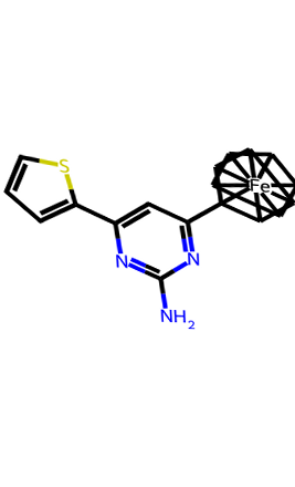 Nc1nc(-c2cccs2)cc([C]23[CH]4[CH]5[CH]6[CH]2[Fe]56432789[CH]3[CH]2[CH]7[CH]8[CH]39)n1